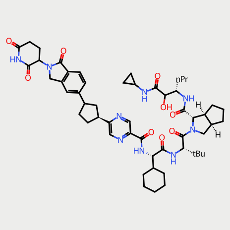 CCC[C@H](NC(=O)[C@@H]1[C@H]2CCC[C@H]2CN1C(=O)[C@@H](NC(=O)[C@@H](NC(=O)c1cnc([C@H]2CCC(c3ccc4c(c3)CN(C3CCC(=O)NC3=O)C4=O)C2)cn1)C1CCCCC1)C(C)(C)C)C(O)C(=O)NC1CC1